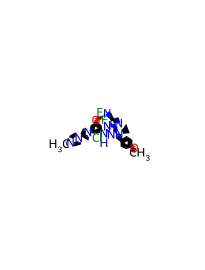 COc1ccc(CN(c2nc(Nc3cc(OC(F)F)cc(N4CC(N5CCN(C)CC5)C4)c3Cl)nn3c(C#N)cnc23)C2CC2)cc1